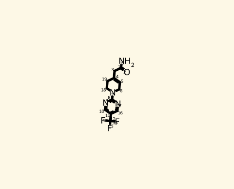 NC(=O)CC1=CCN(c2ncc(C(F)(F)F)cn2)CC1